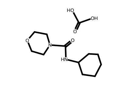 O=C(NC1CCCCC1)N1CCOCC1.O=C(O)O